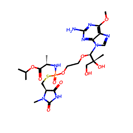 COc1nc(N)nc2c1ncn2[C@H](OCCO[P@@](=O)(N[C@@H](C)C(=O)OC(C)C)SC[C@H]1C(=O)NC(=O)N1C)[C@](C)(O)CO